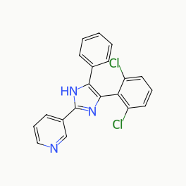 Clc1cccc(Cl)c1-c1nc(-c2cccnc2)[nH]c1-c1ccccc1